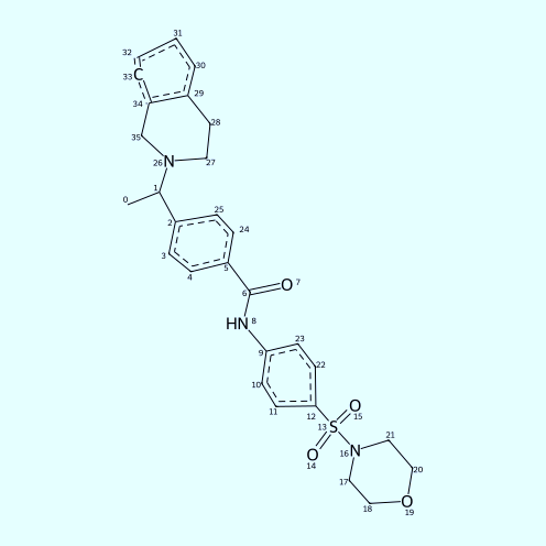 CC(c1ccc(C(=O)Nc2ccc(S(=O)(=O)N3CCOCC3)cc2)cc1)N1CCc2ccccc2C1